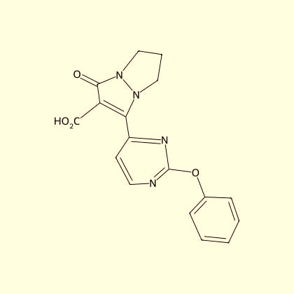 O=C(O)c1c(-c2ccnc(Oc3ccccc3)n2)n2n(c1=O)CCC2